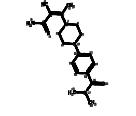 CC(=C(C#N)C(N)=S)N1CCN(c2ccc(C(=O)N(C)C)cc2)CC1